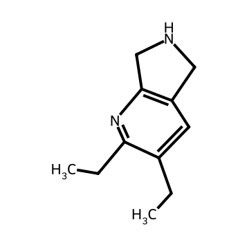 CCc1cc2c(nc1CC)CNC2